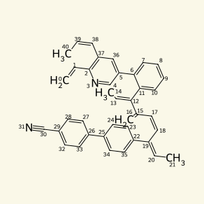 C=Cc1ncc(-c2ccccc2/C(=C\C)C(=C)/C=C\C(=C/C)c2ccc(-c3ccc(C#N)cc3)cc2)cc1/C=C\C